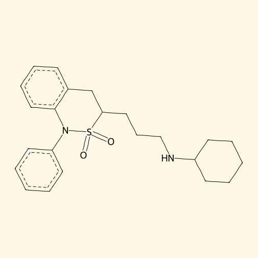 O=S1(=O)C(CCCNC2CCCCC2)Cc2ccccc2N1c1ccccc1